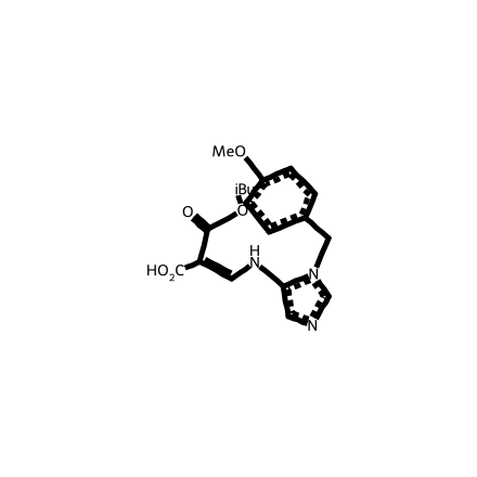 CCC(C)OC(=O)C(=CNc1cncn1Cc1ccc(OC)cc1)C(=O)O